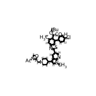 CC(=O)N1CO[C@H]1CN1CCC(c2cn(C)c3ncc(-c4nc5cc(C)c([C@H](OC(C)(C)C)C(=O)O)c(-c6ccc(Cl)cc6)c5s4)cc23)CC1